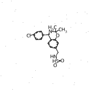 CC1(C)N=C(c2ccc(Cl)cc2)c2ccc(CN[SH](=O)=O)cc2O1